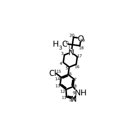 CC1(N2CCC(c3cc4[nH]ncc4cc3Cl)CC2)COC1